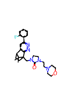 CC1(C)C2CCC1(CN1CCN(CCN3CCOCC3)C1=O)c1nnc(-c3ccccc3F)cc12